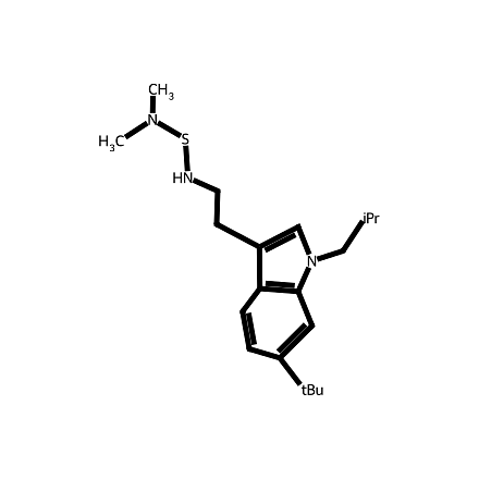 CC(C)Cn1cc(CCNSN(C)C)c2ccc(C(C)(C)C)cc21